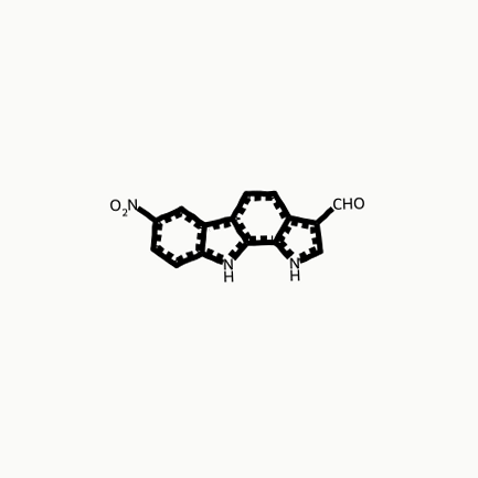 O=Cc1c[nH]c2c1ccc1c3cc([N+](=O)[O-])ccc3[nH]c12